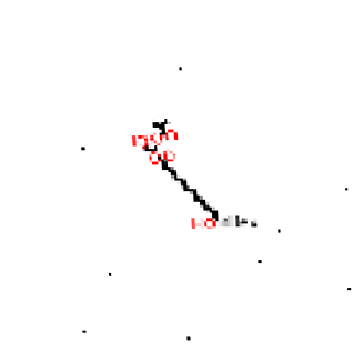 C=C(C)C(=O)OCC(CO)OC(=O)CCCCCCC/C=C/CC(O)CCCCCC